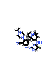 CC(C)N1CCN(c2ccc(Nc3ncc(F)c(N[C@@H]4C[C@H]5CCCN5C(C)(C)C4)n3)cc2C#N)CC1